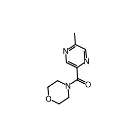 Cc1cnc(C(=O)N2CCOCC2)cn1